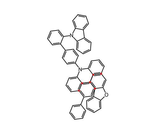 c1ccc(-c2ccc(-c3ccccc3N(c3ccc(-c4ccccc4-n4c5ccccc5c5ccccc54)cc3)c3ccccc3-c3cccc4oc5ccccc5c34)cc2)cc1